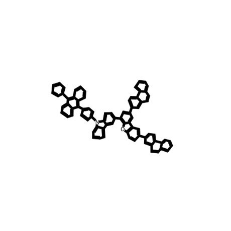 c1ccc(-c2c3ccccc3c(-c3ccc(-n4c5ccccc5c5cc(-c6cc(-c7ccc8c(ccc9ccccc98)c7)cc7c6oc6ccc(-c8ccc9c(ccc%10ccccc%109)c8)cc67)ccc54)cc3)c3ccccc23)cc1